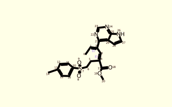 C/C=C(\C=C(/CCS(=O)(=O)c1ccc(C)cc1)C(=O)OC)c1ncnc2[nH]ccc12